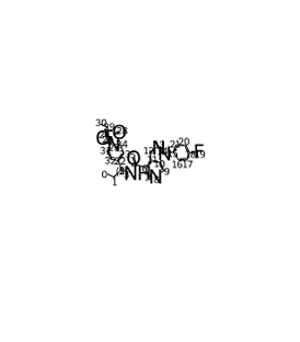 CC[C@H](NC(=O)c1cncc2c1cnn2-c1ccc(F)cc1)C1=CCN(S(=O)(=O)CC)C=C1